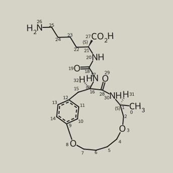 C[C@H]1COCCCCOc2ccc(cc2)C[C@@H](NC(=O)N[C@@H](CCCCN)C(=O)O)C(=O)N1